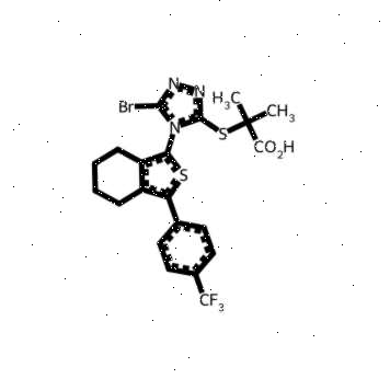 CC(C)(Sc1nnc(Br)n1-c1sc(-c2ccc(C(F)(F)F)cc2)c2c1CCCC2)C(=O)O